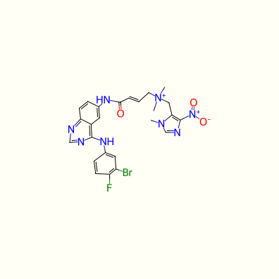 Cn1cnc([N+](=O)[O-])c1C[N+](C)(C)C/C=C/C(=O)Nc1ccc2ncnc(Nc3ccc(F)c(Br)c3)c2c1